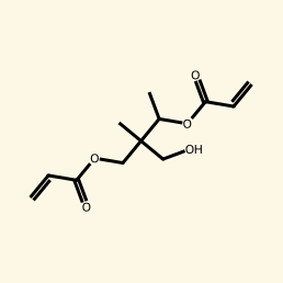 C=CC(=O)OCC(C)(CO)C(C)OC(=O)C=C